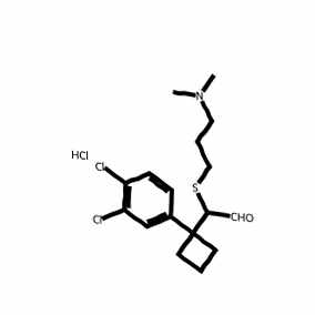 CN(C)CCCSC(C=O)C1(c2ccc(Cl)c(Cl)c2)CCC1.Cl